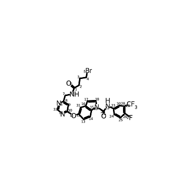 O=C(CCCBr)NCc1cc(Oc2ccc3c(ccn3C(=O)Nc3ccc(F)c(C(F)(F)F)c3)c2)ncn1